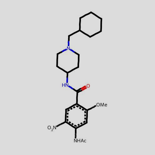 COc1cc(NC(C)=O)c([N+](=O)[O-])cc1C(=O)NC1CCN(CC2CCCCC2)CC1